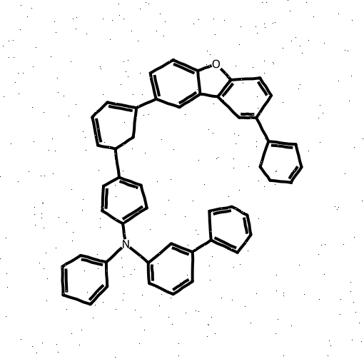 C1=CCCC(c2ccc3oc4ccc(C5=CC=CC(c6ccc(N(c7ccccc7)c7cccc(-c8ccccc8)c7)cc6)C5)cc4c3c2)=C1